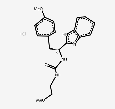 COCCNC(=O)N[C@H](Cc1ccc(OC)cc1)c1nc2ccccc2[nH]1.Cl